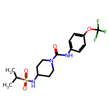 CC(C)S(=O)(=O)NC1CCN(C(=O)Nc2ccc(OC(F)(F)F)cc2)CC1